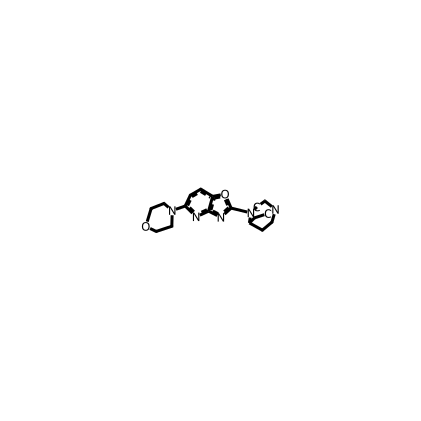 c1cc2oc(N3CCN4CCC3CC4)nc2nc1N1CCOCC1